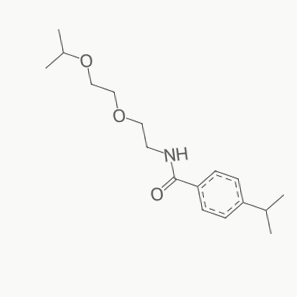 CC(C)OCCOCCNC(=O)c1ccc(C(C)C)cc1